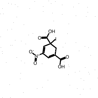 O=C(O)C1=CC([N+](=O)[O-])=CC(I)(C(=O)O)C1